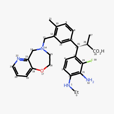 CCNc1ccc([C@H](c2ccc(C)c(CN3CCOc4cccnc4C3)c2)C(C)C(=O)O)c(F)c1N